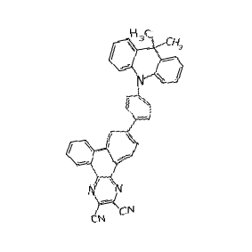 CC1(C)c2ccccc2N(c2ccc(-c3ccc4c(c3)c3ccccc3c3nc(C#N)c(C#N)nc43)cc2)c2ccccc21